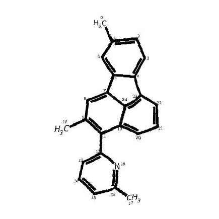 Cc1ccc2c(c1)-c1cc(C)c(-c3cccc(C)n3)c3cccc-2c13